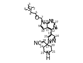 C[Si](C)(C)CCOCn1ccc2c(-c3cnn(C4(CC#N)CCNCC4)c3)ncnc21